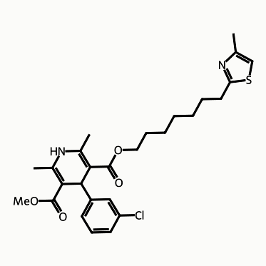 COC(=O)C1=C(C)NC(C)=C(C(=O)OCCCCCCCc2nc(C)cs2)C1c1cccc(Cl)c1